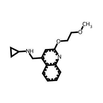 COCCOc1cc(CNC2CC2)c2ccccc2n1